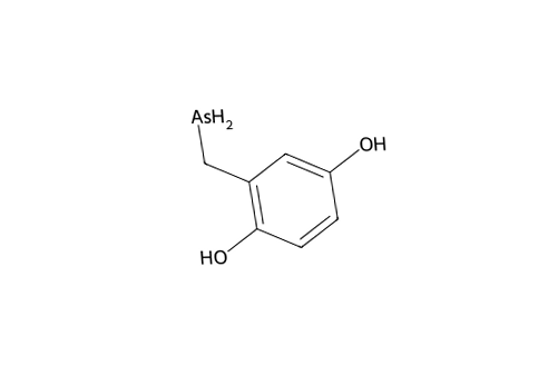 Oc1ccc(O)c(C[AsH2])c1